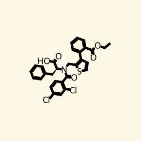 CCOC(=O)c1ccccc1-c1ccsc1CN(C(=O)c1ccc(Cl)cc1Cl)[C@@H](Cc1ccccc1)C(=O)O